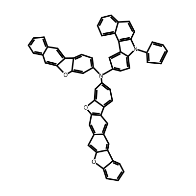 c1ccc(-n2c3ccc(N(c4ccc5c(c4)oc4cc6ccccc6cc45)c4ccc5c(c4)oc4cc6cc7oc8ccccc8c7cc6cc45)cc3c3c4ccccc4ccc32)cc1